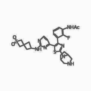 CC(=O)Nc1cccc(-c2nc(N3C4CCC3CNC4)sc2-c2ccnc(NC3CC4(C3)CS(=O)(=O)C4)n2)c1F